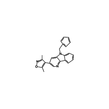 Cc1noc(C)c1-c1cnc2c3ccccc3n(Cc3ccccc3)c2c1